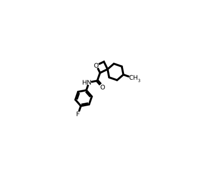 CC1CCC2(CC1)COC2C(=O)Nc1ccc(F)cc1